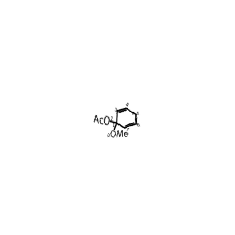 COC1(OC(C)=O)C=C[CH]C=C1